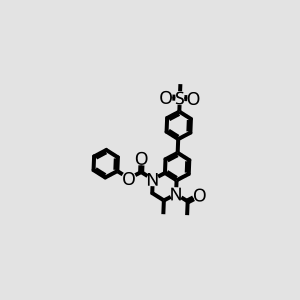 CC(=O)N1c2ccc(-c3ccc(S(C)(=O)=O)cc3)cc2N(C(=O)Oc2ccccc2)CC1C